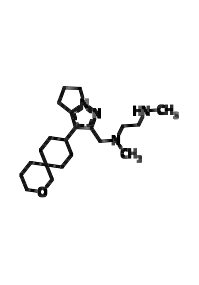 CNCCN(C)Cc1nn2c(c1C1CCC3(CCCOC3)CC1)CCC2